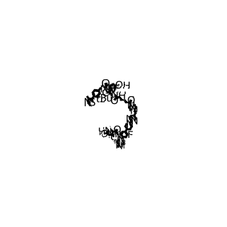 Cc1ncsc1-c1ccc(CNC(=O)[C@@H]2C[C@@H](O)CN2C(=O)C(NC(=O)CCCCC(=O)N2CCN(Cc3cnc(N4CC=C(c5cc(NC(=O)c6c[nH]c(=O)cc6C(F)(F)F)c(N6C[C@@H](C)N(C)[C@@H](C)C6)cc5F)CC4)nc3)CC2)C(C)(C)C)cc1